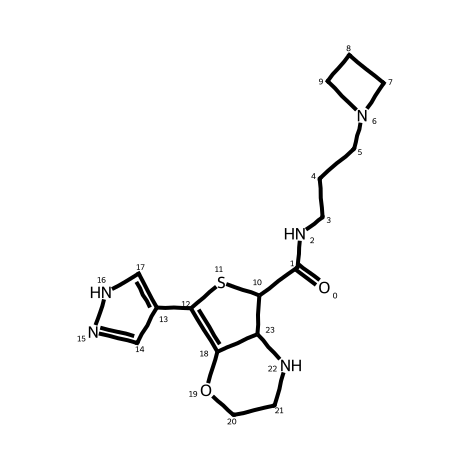 O=C(NCCCN1CCC1)C1SC(c2cn[nH]c2)=C2OCCNC21